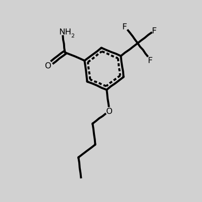 CCCCOc1cc(C(N)=O)cc(C(F)(F)F)c1